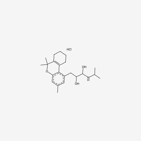 Cc1cc(CC(O)C(O)NC(C)C)c2c(c1)OC(C)(C)C1=C2CCCC1.Cl